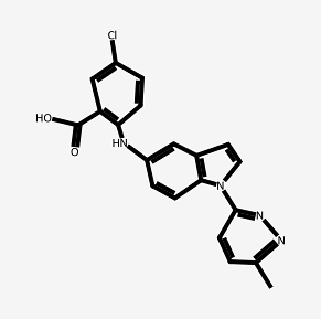 Cc1ccc(-n2ccc3cc(Nc4ccc(Cl)cc4C(=O)O)ccc32)nn1